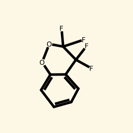 FC1(F)OOc2ccccc2C1(F)F